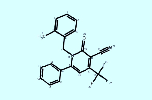 Cc1ccccc1Cn1c(-c2ccccc2)cc(C(F)(F)F)c(C#N)c1=O